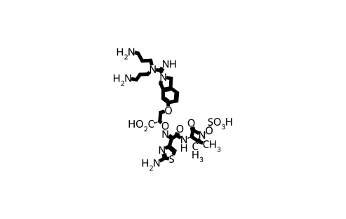 CC1(C)[C@H](NC(=O)/C(=N\O[C@@H](COc2ccc3c(c2)CN(C(=N)N(CCCN)CCCN)C3)C(=O)O)c2csc(N)n2)C(=O)N1OS(=O)(=O)O